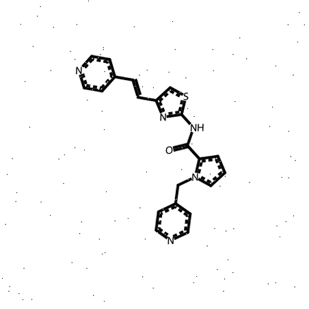 O=C(Nc1nc(C=Cc2ccncc2)cs1)c1cccn1Cc1ccncc1